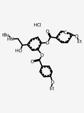 CCOc1ccc(C(=O)Oc2ccc(C(O)CNC(C)(C)C)cc2OC(=O)c2ccc(OCC)cc2)cc1.Cl